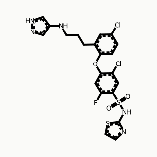 O=S(=O)(Nc1nccs1)c1cc(Cl)c(Oc2ccc(Cl)cc2CCCNc2cn[nH]c2)cc1F